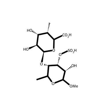 COC1OC(C)[C@H](O[C@@H]2OC(C(=O)O)[C@@H](C)[C@@H](O)[C@@H]2O)[C@H](OS(=O)(=O)O)[C@@H]1O